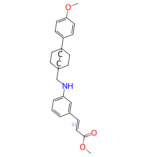 COC(=O)/C=C/c1cccc(NCC23CCC(c4ccc(OC)cc4)(CC2)CC3)c1